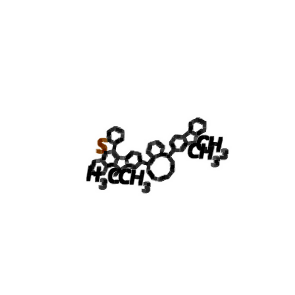 CC1(C)c2ccccc2-c2ccc(-c3ccccccc(-c4ccc5c(c4)C(C)(C)c4c-5c5c6ccccc6sc5c5ccccc45)c4ccccc34)cc21